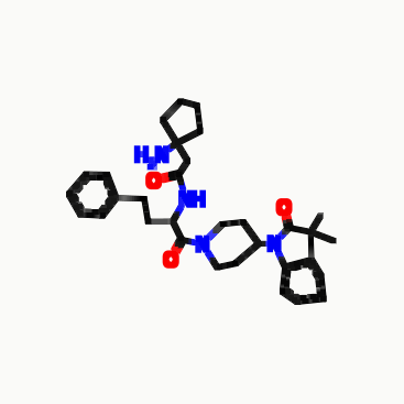 CC1(C)C(=O)N(C2CCN(C(=O)C(CCc3ccccc3)NC(=O)CC3(N)CCCC3)CC2)c2ccccc21